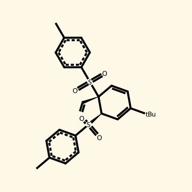 C=C[C@@]1(S(=O)(=O)c2ccc(C)cc2)C=CC(C(C)(C)C)=C[C@H]1S(=O)(=O)c1ccc(C)cc1